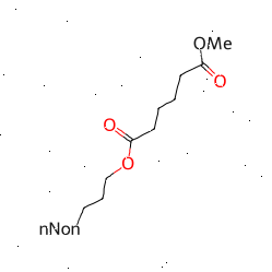 CCCCCCCCCCCCOC(=O)CCCCC(=O)OC